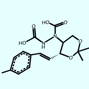 Cc1ccc(/C=C/[C@H]2OC(C)(C)OCC2N(NC(=O)O)C(=O)O)cc1